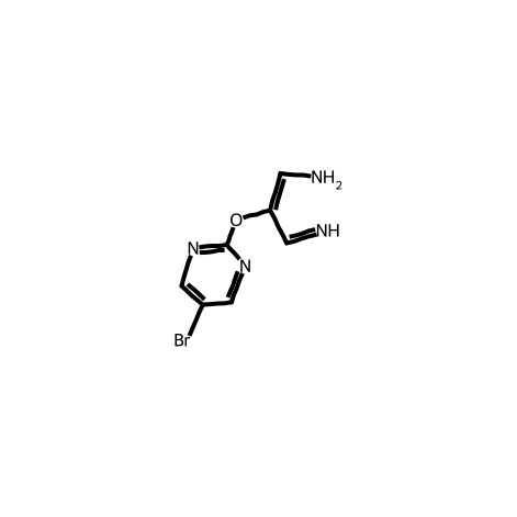 N=C/C(=C\N)Oc1ncc(Br)cn1